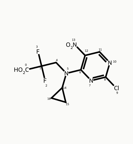 O=C(O)C(F)(F)CN(c1nc(Cl)ncc1[N+](=O)[O-])C1CC1